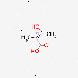 C/C(O)=C(/C)C(=O)O